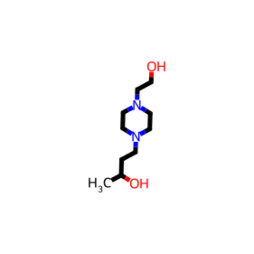 CC(O)CCN1CCN(CCO)CC1